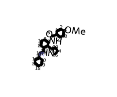 COc1ccc(C(=O)Nc2cccc(/C=C/c3ccccc3)c2C2=CCCN2)cc1